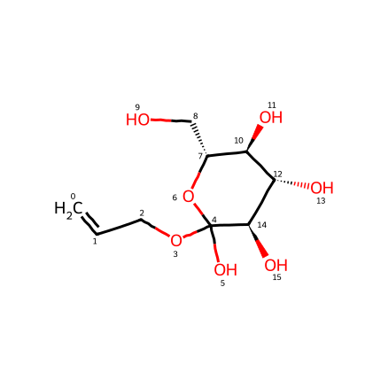 C=CCOC1(O)O[C@H](CO)[C@@H](O)[C@H](O)[C@H]1O